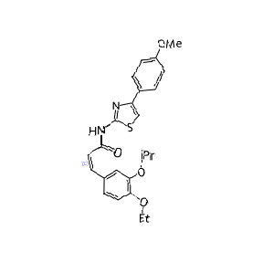 CCOc1ccc(/C=C\C(=O)Nc2nc(-c3ccc(OC)cc3)cs2)cc1OC(C)C